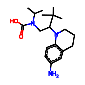 CC(C)N(CC(N1CCCc2cc(N)ccc21)C(C)(C)C)C(=O)O